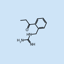 CCC(=O)c1ccccc1CNC(=N)N